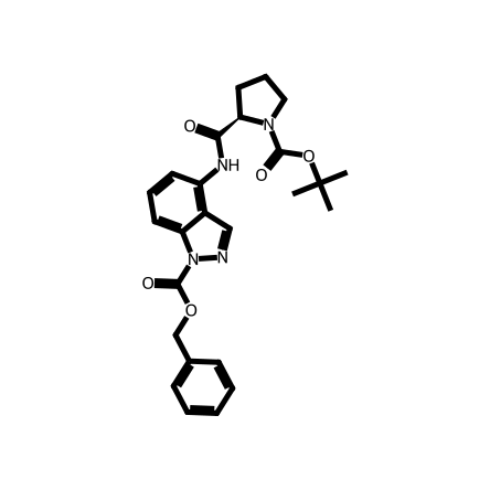 CC(C)(C)OC(=O)N1CCC[C@@H]1C(=O)Nc1cccc2c1cnn2C(=O)OCc1ccccc1